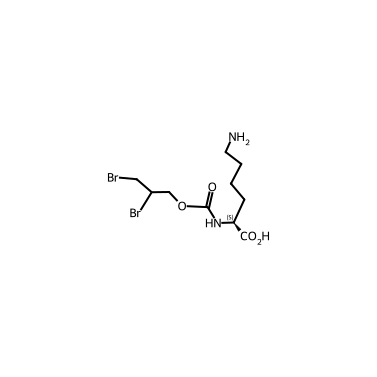 NCCCC[C@H](NC(=O)OCC(Br)CBr)C(=O)O